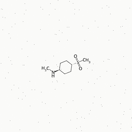 CN[C@H]1CC[C@H](S(C)(=O)=O)CC1